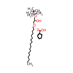 CCCCCCCCCCCCCCCCCCOCC(O)CO[Si](C)(C)C(C)(C)C.O=C(O)c1ccccc1